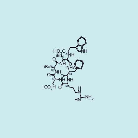 CC[C@H](C)[C@H](NC(=O)[C@H](CC(=O)O)NC(=O)[C@H](CCCNC(=N)N)NC(=O)[C@@H](Cc1ccccc1)NC(C)=O)C(=O)N[C@H](C(=O)N[C@@H](Cc1c[nH]c2ccccc12)C(=O)O)[C@@H](C)CC